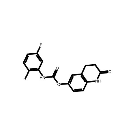 Cc1ccc(F)cc1NC(=O)Oc1ccc2c(c1)CCC(=O)N2